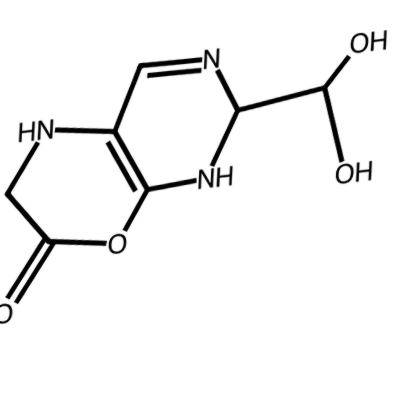 O=C1CNC2=C(NC(C(O)O)N=C2)O1